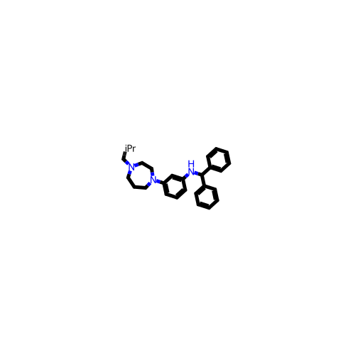 CC(C)CN1CCCN(c2cccc(NC(c3ccccc3)c3ccccc3)c2)CC1